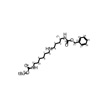 C[C@@H](CCCNCCCCCCNC(=O)OC(C)(C)C)NC(=O)OCc1ccccc1